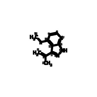 C=C(C)c1n[nH]c2nccc(CC)c12